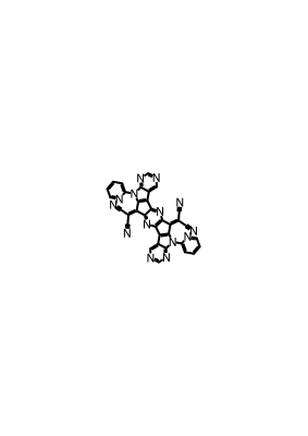 N#CC(C#N)=C1c2nc3c(nc2-c2c1n(-c1ccccn1)c1ncncc21)C(=C(C#N)C#N)c1c-3c2cncnc2n1-c1ccccn1